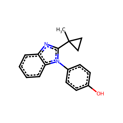 CC1(c2nc3ccccc3n2-c2ccc(O)cc2)CC1